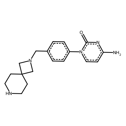 Nc1ccn(-c2ccc(CN3CC4(CCNCC4)C3)cc2)c(=O)n1